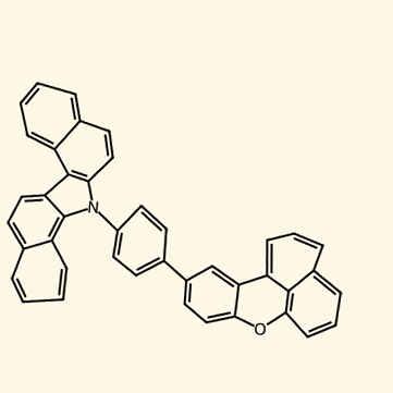 c1cc2c3c(cccc3c1)-c1cc(-c3ccc(-n4c5ccc6ccccc6c5c5ccc6ccccc6c54)cc3)ccc1O2